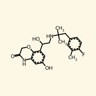 Cc1cc(CC(C)(C)NCC(O)c2cc(O)cc3c2OCC(=O)N3)ccc1F